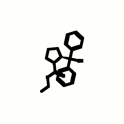 CCOC(=O)N1CCC[C@@H]1C(O)(c1ccccc1)c1ccccc1